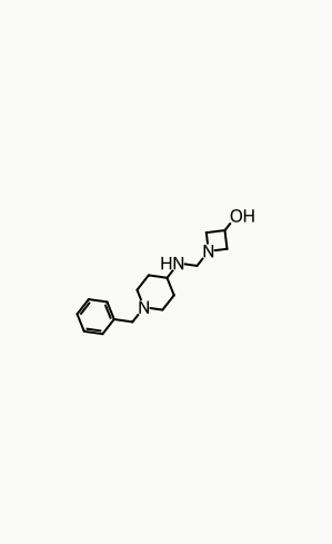 OC1CN(CNC2CCN(Cc3ccccc3)CC2)C1